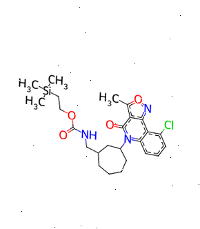 Cc1onc2c1c(=O)n(C1CCCCC(CNC(=O)OCC[Si](C)(C)C)C1)c1cccc(Cl)c21